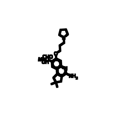 COc1cc2c3c(c(N)nc2cc1OCCCN1CCCC1)CC(C)(C)C3.O=CO